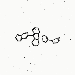 C1=CC(C2=CC=C(C3=c4ccccc4=C(c4ccc5ccccc5c4)C4CCCC=C34)CC2)CN=C1